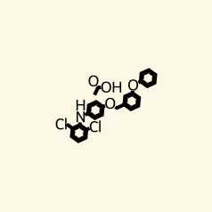 CC(=O)O.Clc1cccc(Cl)c1Nc1ccc(OCc2cccc(Oc3ccccc3)c2)cc1